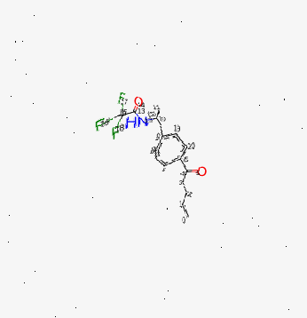 C=CCCC(=O)c1ccc([C@H](C)NC(=O)C(F)(F)F)cc1